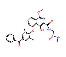 CNC(=O)CNC(=O)c1nc(OC)c2cccc(Oc3c(C)cc(C(=O)c4ccccc4)cc3C)c2c1O